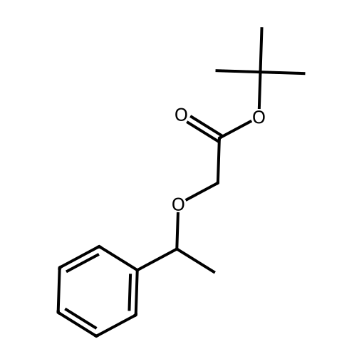 CC(OCC(=O)OC(C)(C)C)c1ccccc1